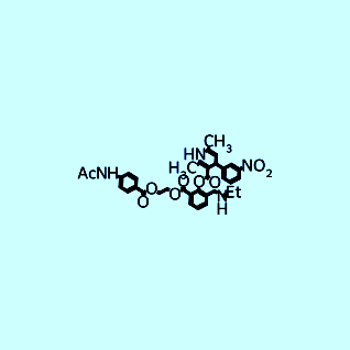 CCNCc1cccc(C(=O)OCCOC(=O)c2ccc(NC(C)=O)cc2)c1OC(=O)C1=C(C)NC(C)=CC1c1cccc([N+](=O)[O-])c1